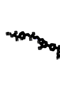 CC(C)(C)OC(=O)Nc1ccc(CNC(=O)/C=C/C2Cc3cc(-c4ccc(C(=O)N5CC[C@@H](F)C5)cc4)cc(Cl)c3O2)cn1